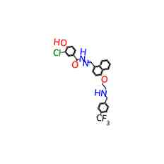 O=C(N/N=C/c1ccc(OCCNCc2ccc(C(F)(F)F)cc2)c2ccccc12)c1ccc(O)c(Cl)c1